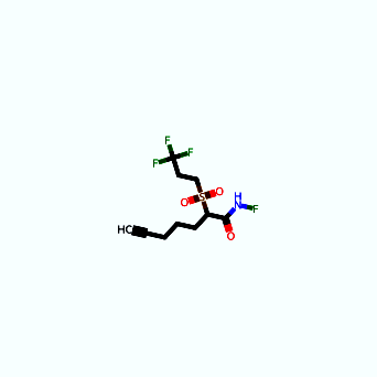 C#CCCCC(C(=O)NF)S(=O)(=O)CCC(F)(F)F